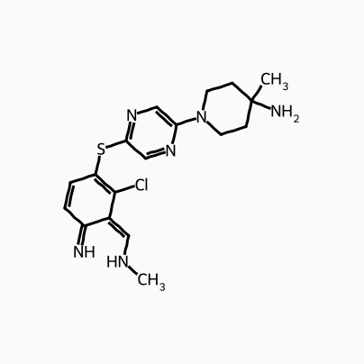 CN/C=C1\C(=N)C=CC(Sc2cnc(N3CCC(C)(N)CC3)cn2)=C1Cl